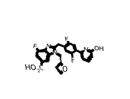 O=C(O)c1cc(F)c2nc(Cc3cc(F)c(-c4cccc(O)n4)cc3F)n(C[C@@H]3CCO3)c2c1